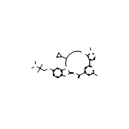 Cc1cc2cc(n1)-c1cnn(C)c1OCCCC(C1CC1)CN1/C(=N/C2=O)Nc2ccc(NCC(C)(C)N(C)C)cc21